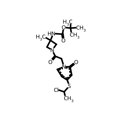 CC(Cl)Sc1ccn(CC(=O)N2CC(C)(NC(=O)OC(C)(C)C)C2)c(=O)c1